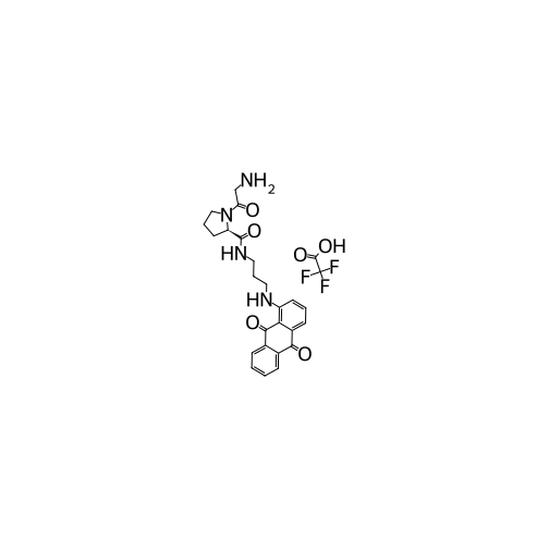 NCC(=O)N1CCC[C@@H]1C(=O)NCCCNc1cccc2c1C(=O)c1ccccc1C2=O.O=C(O)C(F)(F)F